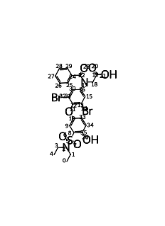 CCN(CC)S(=O)(=O)c1cc(Oc2c(Br)cc(N(CC(=O)O)C(=O)c3ccccc3)cc2Br)ccc1O